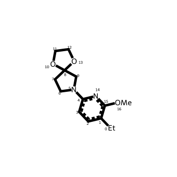 CCc1ccc(N2CCC3(C2)OCCO3)nc1OC